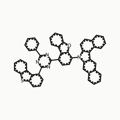 c1ccc(-c2nc(-c3cccc4sc5ccccc5c34)nc(-c3ccc(-n4c5cc6ccccc6cc5c5c6ccccc6ccc54)c4oc5ccccc5c34)n2)cc1